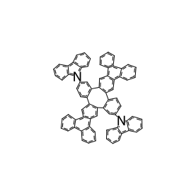 c1ccc2c(c1)c1ccccc1c1cc3c(cc21)-c1ccc(-n2c4ccccc4c4ccccc42)cc1-c1cc2c4ccccc4c4ccccc4c2cc1-c1ccc(-n2c4ccccc4c4ccccc42)cc1-3